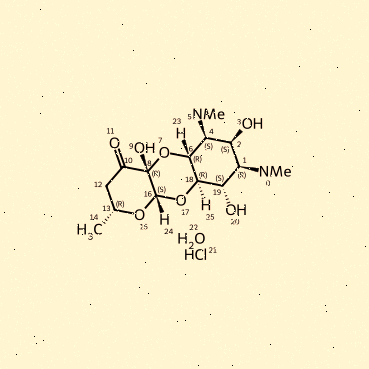 CN[C@@H]1[C@H](O)[C@H](NC)[C@H]2O[C@@]3(O)C(=O)C[C@@H](C)O[C@H]3O[C@@H]2[C@H]1O.Cl.O